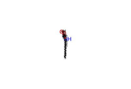 CCCCCCCCCCCCCCCCNc1ccc(COC(C)=O)cc1